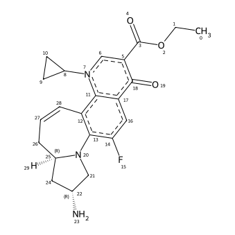 CCOC(=O)c1cn(C2CC2)c2c3c(c(F)cc2c1=O)N1C[C@H](N)C[C@H]1CC=C3